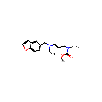 CCCCCCN(CCCN(Cc1ccc2occc2c1)CC(C)C)C(=O)OC(C)(C)C